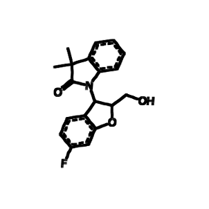 CC1(C)C(=O)N(C2c3ccc(F)cc3OC2CO)c2ccccc21